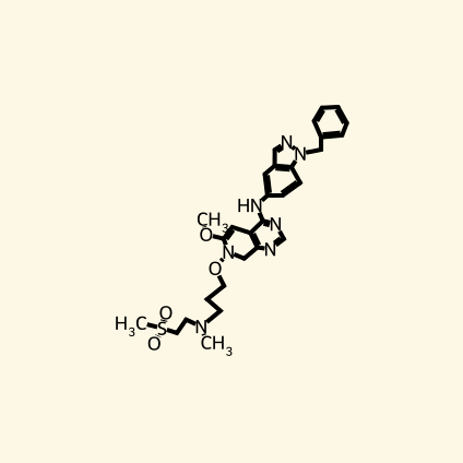 COC1=Cc2c(ncnc2Nc2ccc3c(cnn3Cc3ccccc3)c2)CN1OCCCN(C)CCS(C)(=O)=O